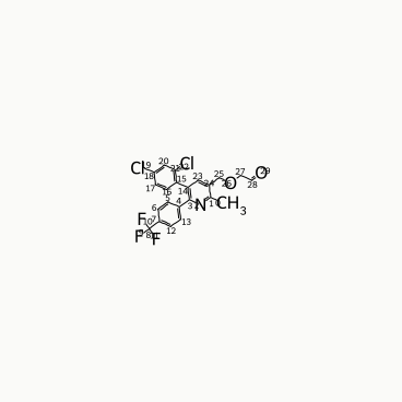 Cc1nc(-c2ccc(C(F)(F)F)cc2)c(-c2ccc(Cl)cc2Cl)cc1COCC=O